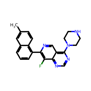 Cc1ccc2c(-c3ncc4c(N5CCNCC5)ncnc4c3F)cccc2c1